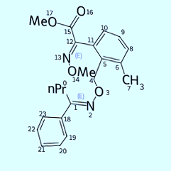 CCC/C(=N\OCc1c(C)cccc1/C(=N\OC)C(=O)OC)c1ccccc1